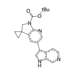 CC(C)(C)OC(=O)N1CC2(CC2)c2cc(-c3c[nH]c4cnccc34)cnc21